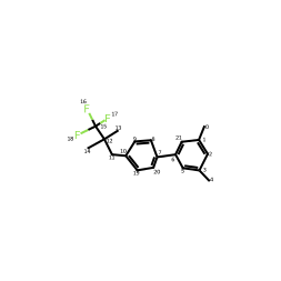 Cc1cc(C)cc(-c2ccc(CC(C)(C)C(F)(F)F)cc2)c1